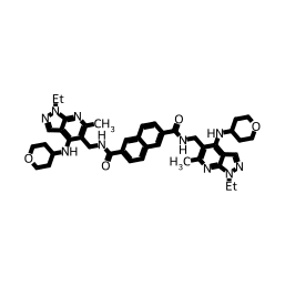 CCn1ncc2c(NC3CCOCC3)c(CNC(=O)c3ccc4cc(C(=O)NCc5c(C)nc6c(cnn6CC)c5NC5CCOCC5)ccc4c3)c(C)nc21